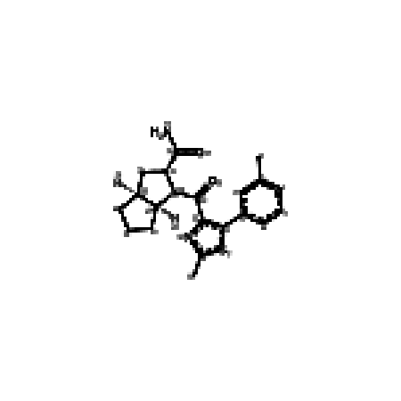 Cc1cccc(-c2sc(C)nc2C(=O)N2[C@H](C(N)=O)C[C@@H]3CCC[C@@H]32)c1